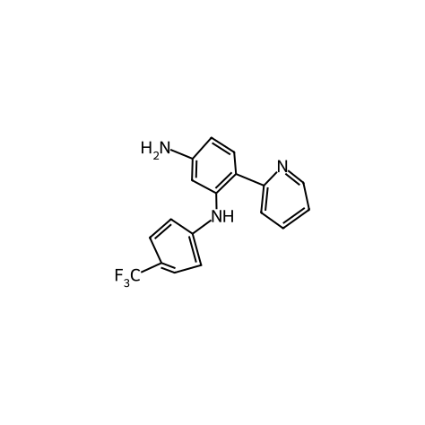 Nc1ccc(-c2ccccn2)c(Nc2ccc(C(F)(F)F)cc2)c1